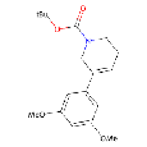 COc1cc(OC)cc(C2=CCCN(C(=O)OC(C)(C)C)C2)c1